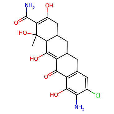 CC1(O)C(C(N)=O)=C(O)CC2CC3Cc4cc(Cl)c(N)c(O)c4C(=O)C3=C(O)C21